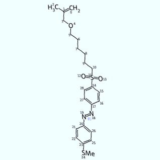 C=C(C)COCCCCCCS(=O)(=O)c1ccc(/N=N/c2ccc(SC)cc2)cc1